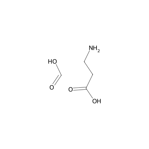 NCCC(=O)O.O=CO